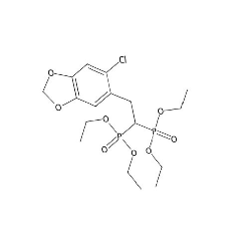 CCOP(=O)(OCC)C(Cc1cc2c(cc1Cl)OCO2)P(=O)(OCC)OCC